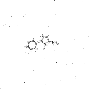 Cn1c(N)cnc1-c1ccncc1